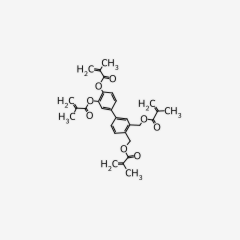 C=C(C)C(=O)OCc1ccc(-c2ccc(OC(=O)C(=C)C)c(OC(=O)C(=C)C)c2)cc1COC(=O)C(=C)C